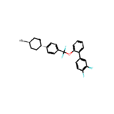 CCCC[C@H]1CC[C@H](c2ccc(C(F)(F)Oc3ccccc3-c3ccc(F)c(F)c3)cc2)CC1